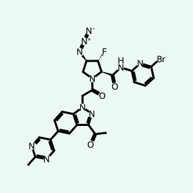 CC(=O)c1nn(CC(=O)N2C[C@@H](N=[N+]=[N-])[C@H](F)[C@H]2C(=O)Nc2cccc(Br)n2)c2ccc(-c3cnc(C)nc3)cc12